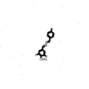 COc1c(F)cc(/C=N/N=C/c2ccc(C)cc2)cc1F